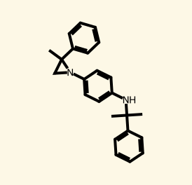 CC(C)(Nc1ccc(N2CC2(C)c2ccccc2)cc1)c1ccccc1